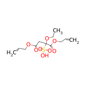 C=CCOC(=O)CC(OCC)(C(=O)OCC=C)S(=O)(=O)O